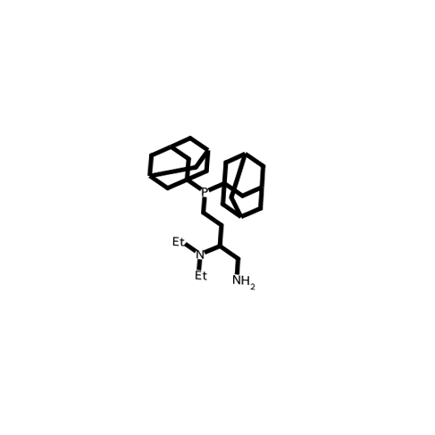 CCN(CC)C(CN)CCP(C12CC3CC(CC(C3)C1)C2)C12CC3CC(CC(C3)C1)C2